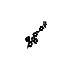 CS(=O)(=O)N[C@H]1CC[C@H](CCN2CCC(N3CCN(c4ccc(F)cc4-c4ccccc4)c4cncnc43)CC2)CC1